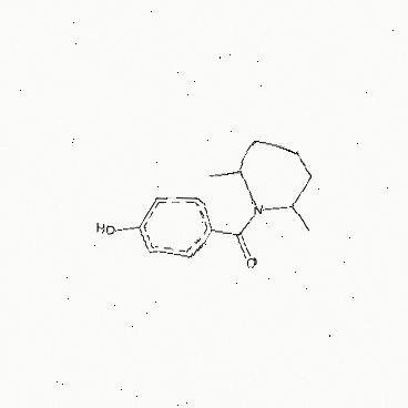 CC1CCCC(C)N1C(=O)c1ccc(O)cc1